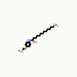 CCCCCCCCCCCCCC(O)Nc1ccc(OCC)cc1